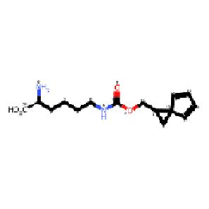 N[C@@H](CCCCNC(=O)OCC1CC12C=CC=C2)C(=O)O